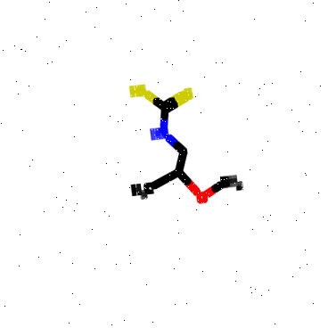 BOC(C)CNC(=S)S